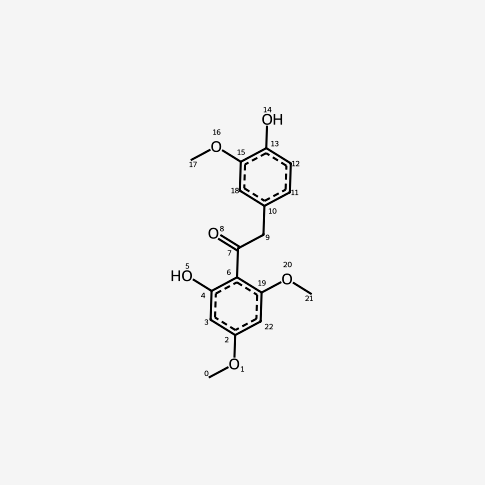 COc1cc(O)c(C(=O)Cc2ccc(O)c(OC)c2)c(OC)c1